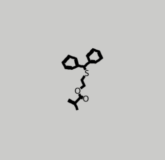 C=C(C)C(=O)OCCSC(c1ccccc1)c1ccccc1